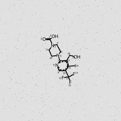 O=C(O)N1CCN(c2ncc(C(F)(F)F)c(I)c2CO)CC1